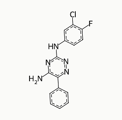 Nc1nc(Nc2ccc(F)c(Cl)c2)nnc1-c1ccccc1